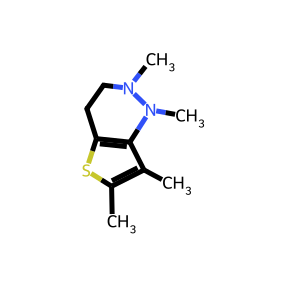 Cc1sc2c(c1C)N(C)N(C)CC2